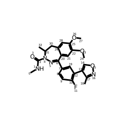 CNC(=O)N1N=C(c2ccc(F)c(-c3conc3C)c2)c2cc(OC)c(OC)cc2CC1C